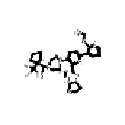 CCOc1ncccc1-c1ccc(N2CCN(C(=O)C3(C(F)(F)F)CCCC3)C[C@H]2CC)c(CN[C@@H]2CCNC2)n1